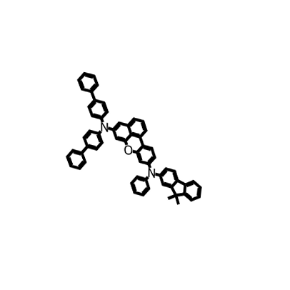 CC1(C)c2ccccc2-c2ccc(N(c3ccccc3)c3ccc4c(c3)Oc3cc(N(c5ccc(-c6ccccc6)cc5)c5ccc(-c6ccccc6)cc5)cc5cccc-4c35)cc21